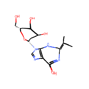 CC(C)=C1N=C(O)c2ncn([C@@H]3O[C@H](CO)C(O)C3O)c2N1